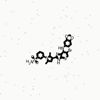 Cc1cc(-c2nc3c(Nc4ccc5c(c4)OCO5)c(Br)cnc3[nH]2)c(C)n1-c1cccc(S(N)(=O)=O)c1